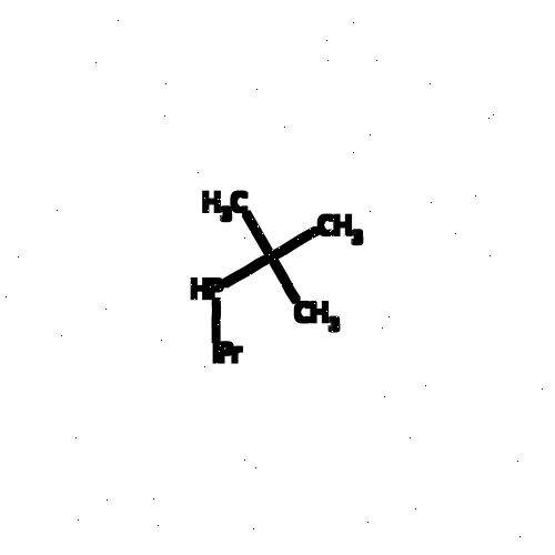 CC(C)PC(C)(C)C